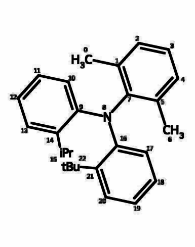 Cc1cccc(C)c1N(c1ccccc1C(C)C)c1ccccc1C(C)(C)C